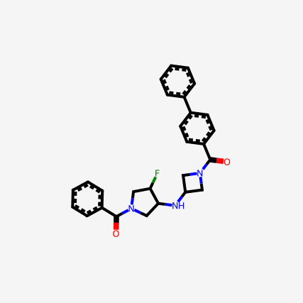 O=C(c1ccc(-c2ccccc2)cc1)N1CC(NC2CN(C(=O)c3ccccc3)CC2F)C1